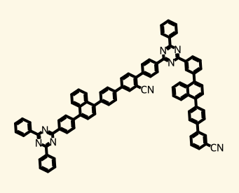 N#Cc1cccc(-c2ccc(-c3ccc(-c4cccc(-c5nc(-c6ccccc6)nc(-c6ccc(-c7ccc(-c8ccc(-c9ccc(-c%10ccc(-c%11nc(-c%12ccccc%12)nc(-c%12ccccc%12)n%11)cc%10)c%10ccccc9%10)cc8)cc7C#N)cc6)n5)c4)c4ccccc34)cc2)c1